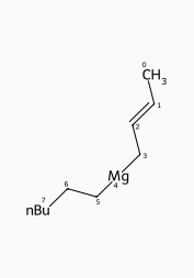 C/C=C/[CH2][Mg][CH2]CCCCC